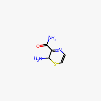 NC(=O)C1=NC=CSC1N